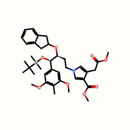 COC(=O)Cc1cn(CC[C@H](OC2Cc3ccccc3C2)[C@H](O[Si](C)(C)C(C)(C)C)c2cc(OC)c(C)c(OC)c2)cc1C(=O)OC